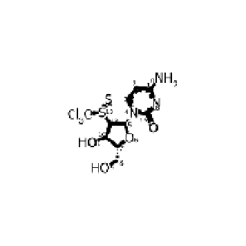 Nc1ccn([C@@H]2O[C@H](CO)C(O)C2S(=S)C(Cl)(Cl)Cl)c(=O)n1